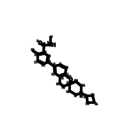 CNC(=O)c1cc(-c2ccc3c(c2)CCC2(CCN(C4CCC4)CC2)O3)ccc1C